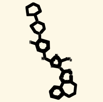 Nc1nc(Nc2ccc(N3CCN(C4CCCCC4)CC3)c(F)c2)nn1-c1ncc2c(n1)-c1ccccc1CCC2